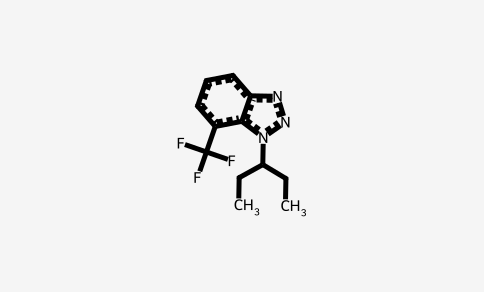 CCC(CC)n1nnc2cccc(C(F)(F)F)c21